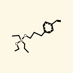 C=Cc1ccc(CCCO[Si](CC)(CCC)OCC)cc1